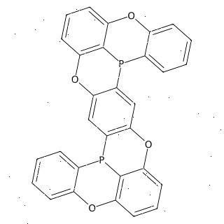 c1ccc2c(c1)oc1cccc3oc4cc5c(cc4p2c13)oc1cccc2oc3ccccc3p5c21